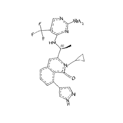 C[C@H](Nc1nc(N)ncc1C(F)(F)F)c1cc2cccc(-c3cn[nH]c3)c2c(=O)n1C1CC1